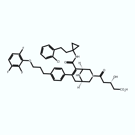 O=C(O)C[C@@H](O)CC(=O)N1C[C@H]2CC(c3ccc(CCCOc4c(F)ccc(F)c4F)cc3)=C(C(=O)NC3(CCc4ccccc4Cl)CC3)[C@@H](C1)N2